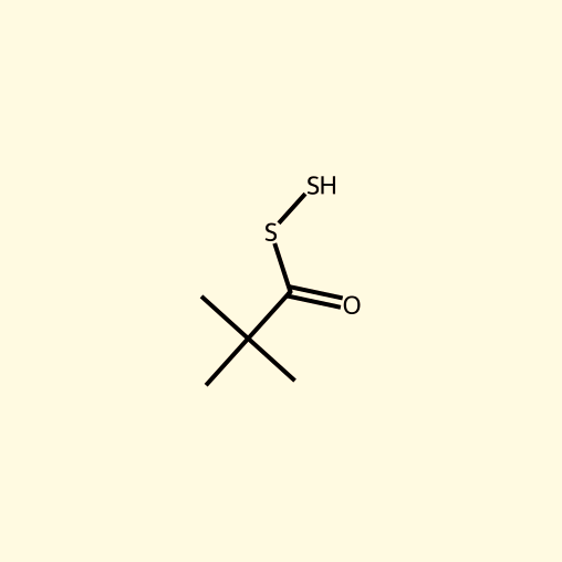 CC(C)(C)C(=O)SS